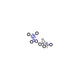 CC1(C)c2cc(-c3ccc4c(c3)c3ccccc3n4-c3nc(-c4ccccc4)nc(-c4ccccc4)n3)ccc2-c2ccc3sc(-c4ccccc4)nc3c21